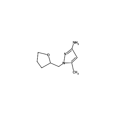 Cc1cc(N)nn1CC1CCCO1